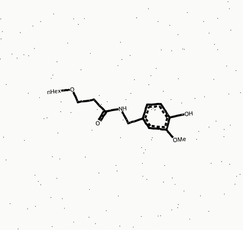 CCCCCCOCCC(=O)NCc1ccc(O)c(OC)c1